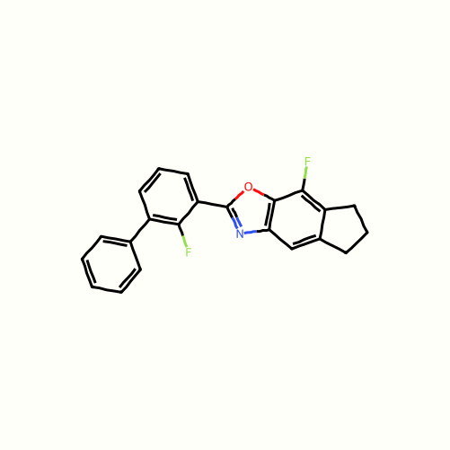 Fc1c(-c2ccccc2)cccc1-c1nc2cc3c(c(F)c2o1)CCC3